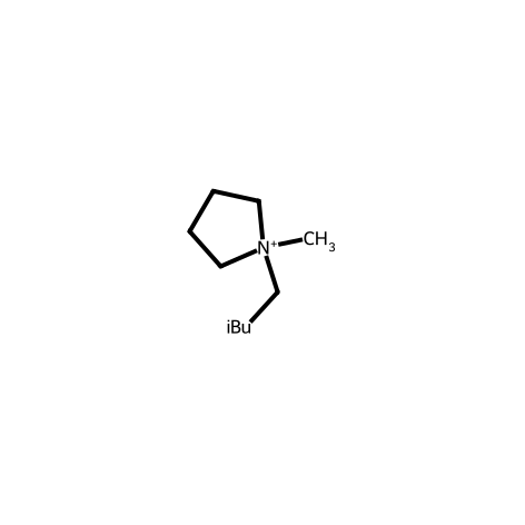 CCC(C)C[N+]1(C)CCCC1